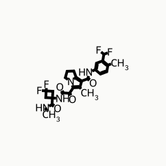 CNC(=O)C1(NC(=O)C(=O)c2c(C)c(C(=O)Nc3ccc(C)c(C(F)F)c3)c3n2CCC3)CC(F)(F)C1